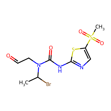 CC(Br)N(CC=O)C(=O)Nc1ncc(S(C)(=O)=O)s1